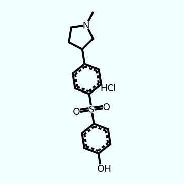 CN1CCC(c2ccc(S(=O)(=O)c3ccc(O)cc3)cc2)C1.Cl